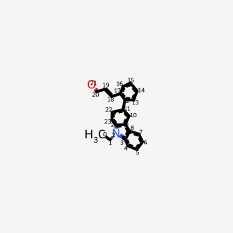 CCn1c2ccccc2c2cc(-c3ccccc3C=CC=O)ccc21